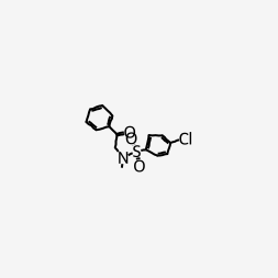 CN(CC(=O)c1ccccc1)S(=O)(=O)c1ccc(Cl)cc1